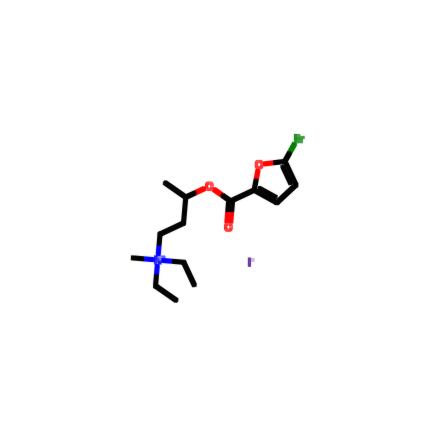 CC[N+](C)(CC)CCC(C)OC(=O)c1ccc(Br)o1.[I-]